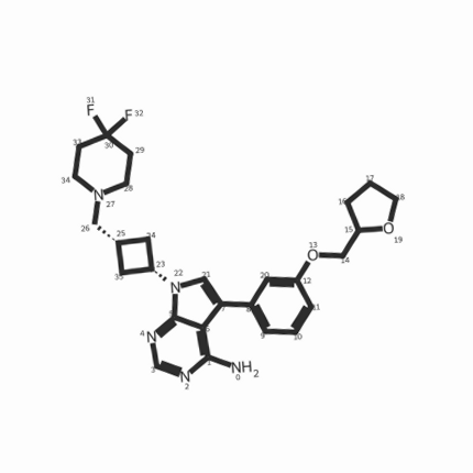 Nc1ncnc2c1c(-c1cccc(OCC3CCCO3)c1)cn2[C@H]1C[C@@H](CN2CCC(F)(F)CC2)C1